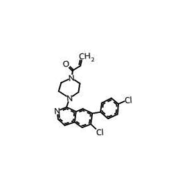 C=CC(=O)N1CCN(c2nccc3cc(Cl)c(-c4ccc(Cl)cc4)cc23)CC1